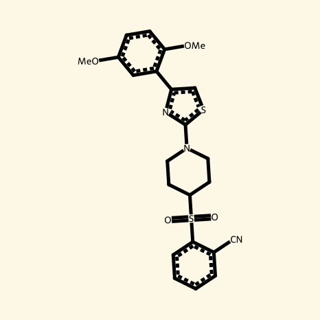 COc1ccc(OC)c(-c2csc(N3CCC(S(=O)(=O)c4ccccc4C#N)CC3)n2)c1